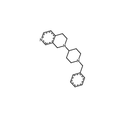 c1ccc(CN2CCC(N3CCc4ccncc4C3)CC2)cc1